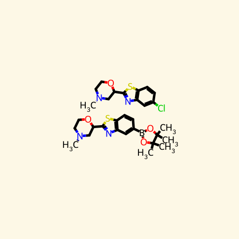 CN1CCOC(c2nc3cc(B4OC(C)(C)C(C)(C)O4)ccc3s2)C1.CN1CCOC(c2nc3cc(Cl)ccc3s2)C1